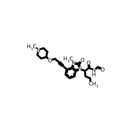 CCCC(C(=O)NC=O)n1c(=O)n(C)c2c(C#CCOC3CCN(C)CC3)cccc21